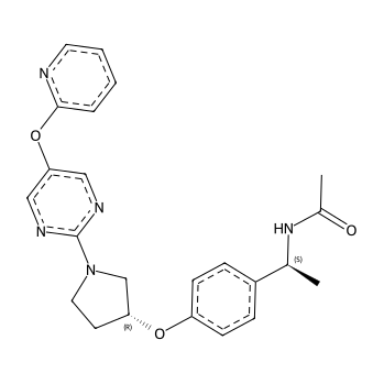 CC(=O)N[C@@H](C)c1ccc(O[C@@H]2CCN(c3ncc(Oc4ccccn4)cn3)C2)cc1